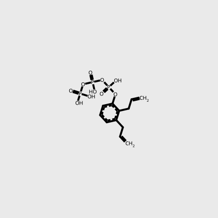 C=CCc1cccc(OP(=O)(O)OP(=O)(O)OP(=O)(O)O)c1CC=C